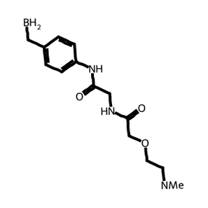 BCc1ccc(NC(=O)CNC(=O)COCCNC)cc1